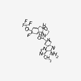 Cc1ncn2c1c(N)nc1cnc(C(=O)N3CCO[C@@H]4Cc5cc(OC(F)(F)F)c(F)cc5[C@@H]43)cc12